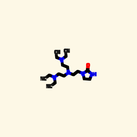 N#CCN(CC#N)CCN(CCN(CC#N)CC#N)CCN1CCNC1=O